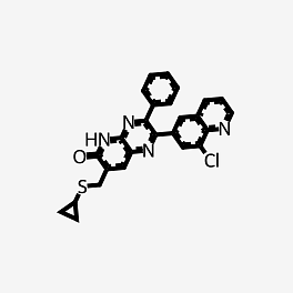 O=c1[nH]c2nc(-c3ccccc3)c(-c3cc(Cl)c4ncccc4c3)nc2cc1CSC1CC1